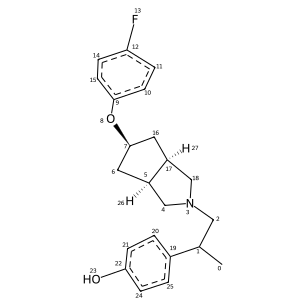 CC(CN1C[C@H]2C[C@@H](Oc3ccc(F)cc3)C[C@H]2C1)c1ccc(O)cc1